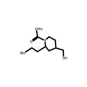 COC(=O)N1CCC(CO)CC1CCC(C)(C)C